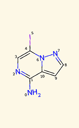 Nc1ncc(I)n2nccc12